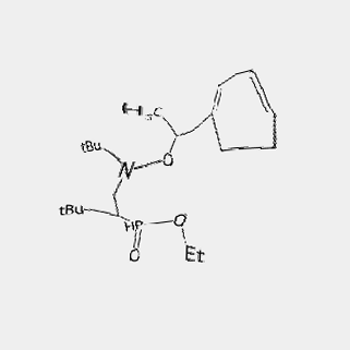 CCO[PH](=O)C(N(OC(C)C1=CC=CCC1)C(C)(C)C)C(C)(C)C